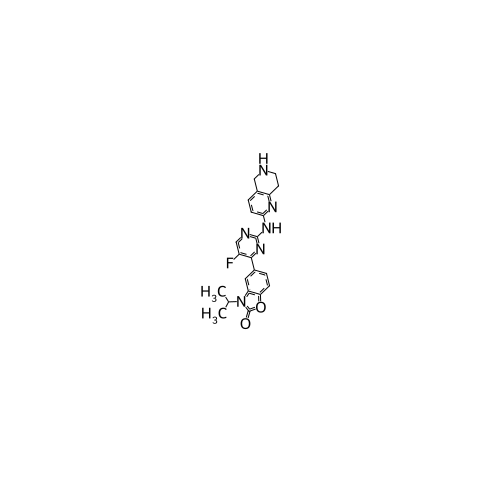 CC(C)n1c(=O)oc2ccc(-c3nc(Nc4ccc5c(n4)CCNC5)ncc3F)cc21